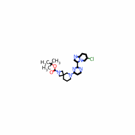 CC(C)(C)OC(=O)N1CC2(CCCN(c3ccnc(-c4cnc5ccc(Cl)cn45)n3)C2)C1